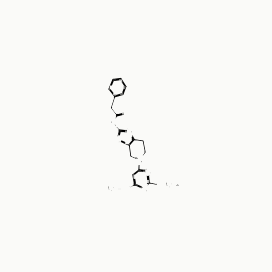 COc1cc(N2CCc3nc(NC(=O)[C@H](O)c4ccccc4)sc3C2)nc(OC)n1